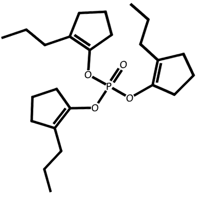 CCCC1=C(OP(=O)(OC2=C(CCC)CCC2)OC2=C(CCC)CCC2)CCC1